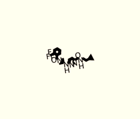 O=C(NCCC1CC1)c1ccc(NC2CN(C(=O)c3ccccc3C(F)(F)F)C2)nn1